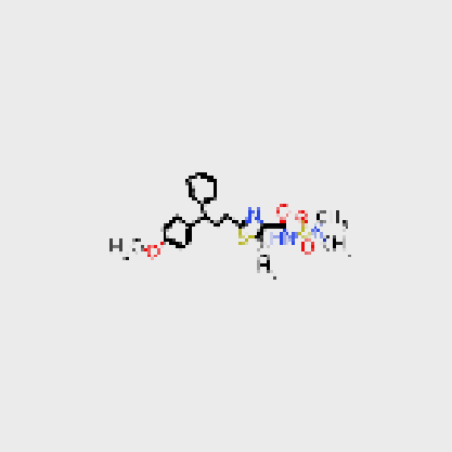 COc1ccc(C(CCc2nc(C(=O)NS(=O)(=O)N(C)C)c(C)s2)c2ccccc2)cc1